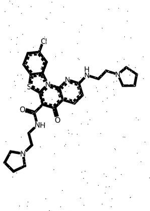 O=C(NCCN1CCCC1)c1c(=O)c2ccc(NCCN3CCCC3)nc2n2c1sc1ccc(Cl)cc12